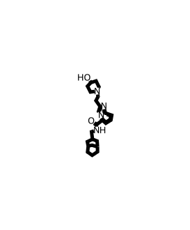 O=C(NCC1CC2CCCC(C2)C1)c1cccc2nc(CCN3CCC(O)CC3)cn12